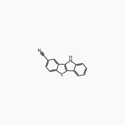 N#Cc1ccc2sc3c4ccccc4[nH]c3c2c1